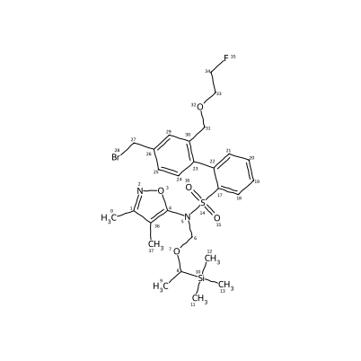 Cc1noc(N(COC(C)[Si](C)(C)C)S(=O)(=O)c2ccccc2-c2ccc(CBr)cc2COCCF)c1C